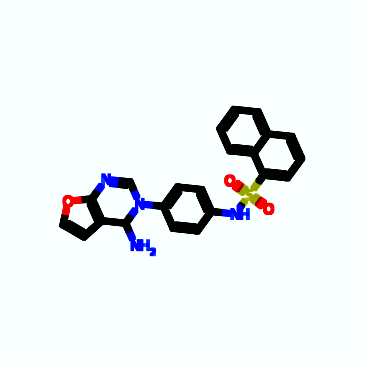 NC1c2ccoc2N=CN1c1ccc(NS(=O)(=O)c2cccc3ccccc23)cc1